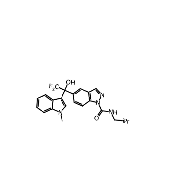 CC(C)CNC(=O)n1ncc2cc(C(O)(c3cn(C)c4ccccc34)C(F)(F)F)ccc21